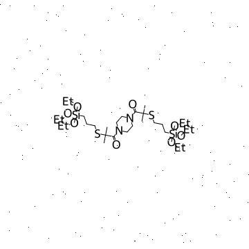 CCO[Si](CCCSC(C)(C)C(=O)N1CCN(C(=O)C(C)(C)SCCC[Si](OCC)(OCC)OCC)CC1)(OCC)OCC